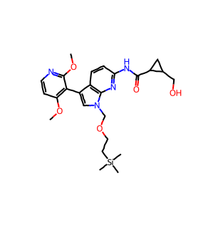 COc1ccnc(OC)c1-c1cn(COCC[Si](C)(C)C)c2nc(NC(=O)C3CC3CO)ccc12